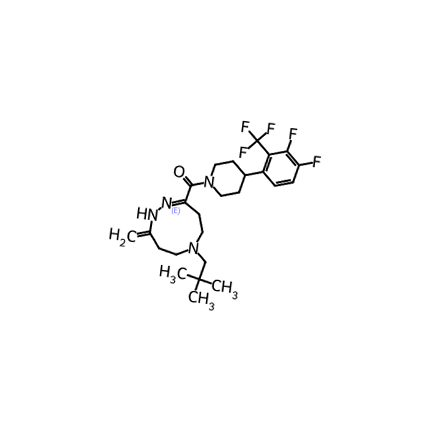 C=C1CCN(CC(C)(C)C)CC/C(C(=O)N2CCC(c3ccc(F)c(F)c3C(F)(F)F)CC2)=N\N1